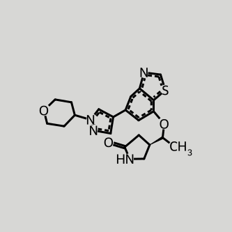 CC(Oc1cc(-c2cnn(C3CCOCC3)c2)cc2ncsc12)[C@H]1CNC(=O)C1